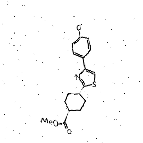 COC(=O)[C@H]1CC[C@H](c2nc(-c3ccc(Cl)cc3)cs2)CC1